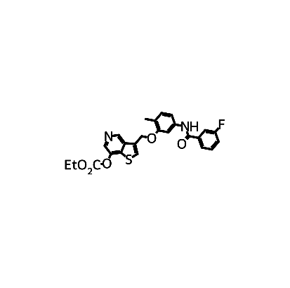 CCOC(=O)Oc1cncc2c(COc3cc(NC(=O)c4cccc(F)c4)ccc3C)csc12